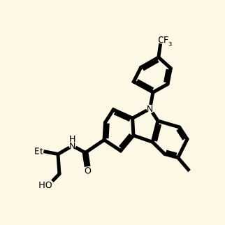 CCC(CO)NC(=O)c1ccc2c(c1)c1cc(C)ccc1n2-c1ccc(C(F)(F)F)cc1